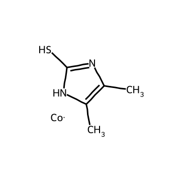 Cc1nc(S)[nH]c1C.[Co]